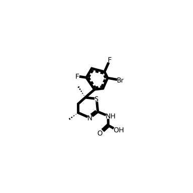 C[C@@H]1C[C@@](C)(c2cc(Br)c(F)cc2F)SC(NC(=O)O)=N1